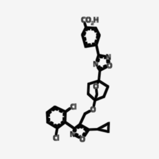 O=C(O)c1ccc(-c2noc(C34CCC(OCc5c(-c6c(Cl)cccc6Cl)noc5C5CC5)(CC3)CO4)n2)cc1